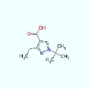 CCc1nn(C(C)(C)C)cc1C(=O)O